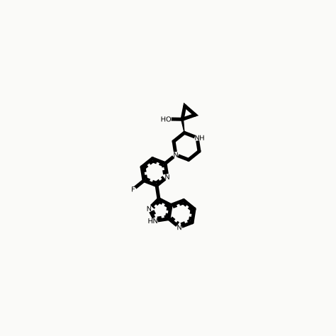 OC1([C@@H]2CN(c3ccc(F)c(-c4n[nH]c5ncccc45)n3)CCN2)CC1